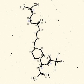 C=C(C)/N=C(\C=C(/N)C(F)(F)F)N1CCN(CCCSC(=C)/N=C\C=C(/N)O)CC1